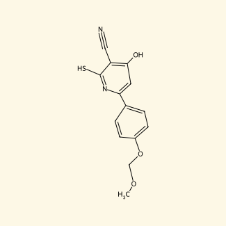 COCOc1ccc(-c2cc(O)c(C#N)c(S)n2)cc1